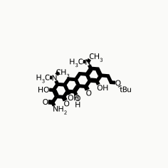 CN(C)c1cc(CCOC(C)(C)C)c(O)c2c1CC1CC3C(N(C)C)C(O)=C(C(N)=O)C(=O)C3(O)C(O)=C1C2=O